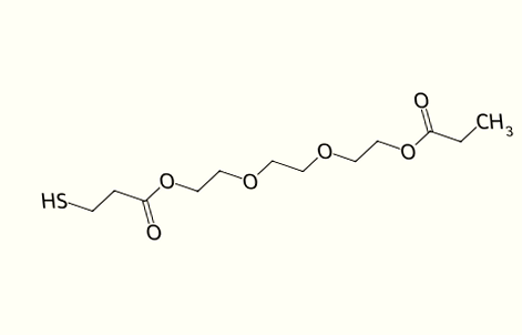 CCC(=O)OCCOCCOCCOC(=O)CCS